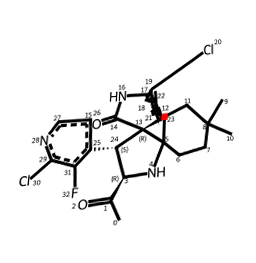 CC(=O)[C@@H]1NC2(CCC(C)(C)CC2)[C@@]2(C(=O)Nc3cc(Cl)ccc32)[C@H]1c1ccnc(Cl)c1F